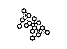 c1ccc(-c2cccc(N(c3cc4c(c5ccccc35)-c3c(cc(N(c5cccc(-c6ccccc6)c5)c5cccc6c5oc5ccccc56)c5ccccc35)C4(c3ccccc3)c3ccccc3)c3cccc4c3oc3ccccc34)c2)cc1